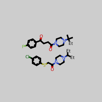 CCC(C)(C)N1CCN(C(=O)CCC(=O)c2ccc(F)cc2)CC1.CCC(CC)N1CCN(C(=O)CSc2ccc(Cl)cc2)CC1